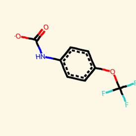 [O]C(=O)Nc1ccc(OC(F)(F)F)cc1